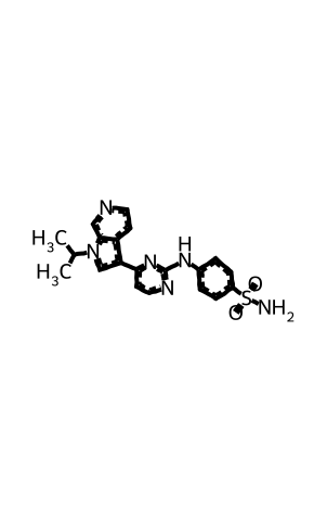 CC(C)n1cc(-c2ccnc(Nc3ccc(S(N)(=O)=O)cc3)n2)c2ccncc21